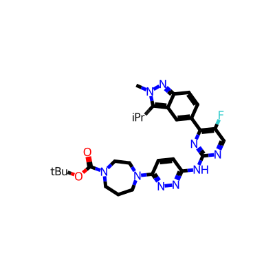 CC(C)c1c2cc(-c3nc(Nc4ccc(N5CCCN(C(=O)OC(C)(C)C)CC5)nn4)ncc3F)ccc2nn1C